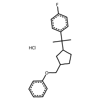 CC(C)(c1ccc(F)cc1)C1CCC(COc2ccccc2)C1.Cl